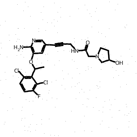 CC(Oc1cc(C#CCNC(=O)CN2CCC(O)C2)cnc1N)c1c(Cl)ccc(F)c1Cl